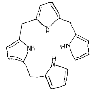 c1c[nH]c(Cc2ccc(Cc3ccc(Cc4ccc[nH]4)[nH]3)[nH]2)c1